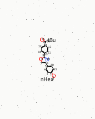 CCCCCCOc1ccc(-c2coc(-c3ccc(C(=O)C(C)(C)C)cc3)n2)cc1